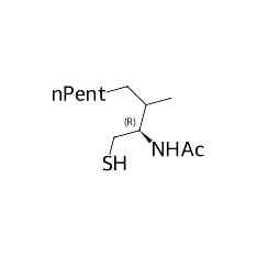 CCCCCCC(C)[C@H](CS)NC(C)=O